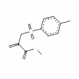 C=C(CS(=O)(=O)c1ccc(C)cc1)C(=O)OCCCCCC